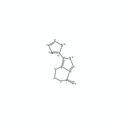 O=C1CCCc2c1csc2-c1nccs1